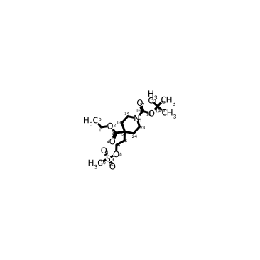 CCOC(=O)C1(CCOS(C)(=O)=O)CCN(C(=O)OC(C)(C)C)CC1